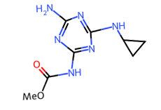 COC(=O)Nc1nc(N)nc(NC2CC2)n1